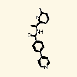 Cc1cccc(C(C)NC(=O)c2ccc(-c3ccncc3)cc2)n1